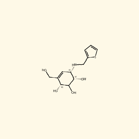 OCC1=C[C@H](NCc2cccs2)[C@H](O)C(O)[C@@H]1O